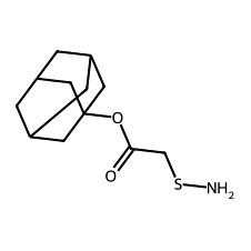 NSCC(=O)OC12CC3CC(CC(C3)C1)C2